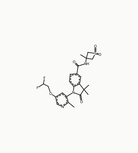 Cc1ncc(OCC(F)F)cc1N1C(=O)C(C)(C)c2cc(C(=O)NC3(C)CS(=O)(=O)C3)ccc21